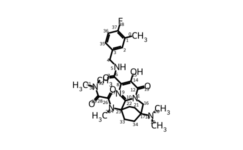 Cc1cc(CNC(=O)c2nc3n(c(=O)c2O)CC2(N(C)C)CCC3(N(C)C(=O)C(=O)N(C)C)CC2)ccc1F